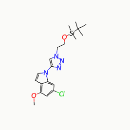 COc1cc(Cl)cc2c1ccn2-c1cn(CCO[Si](C)(C)C(C)(C)C)nn1